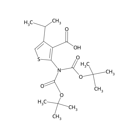 CC(C)c1csc(N(C(=O)OC(C)(C)C)C(=O)OC(C)(C)C)c1C(=O)O